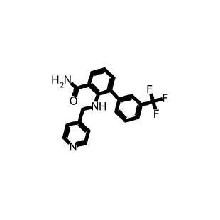 NC(=O)c1cccc(-c2cccc(C(F)(F)F)c2)c1NCc1ccncc1